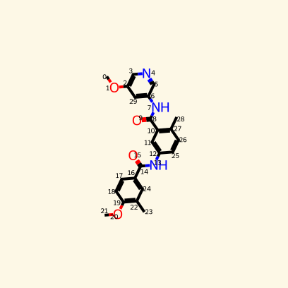 COc1cncc(NC(=O)c2cc(NC(=O)c3ccc(OC)c(C)c3)ccc2C)c1